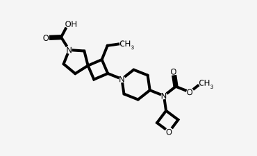 CCC1C(N2CCC(N(C(=O)OC)C3COC3)CC2)CC12CCN(C(=O)O)C2